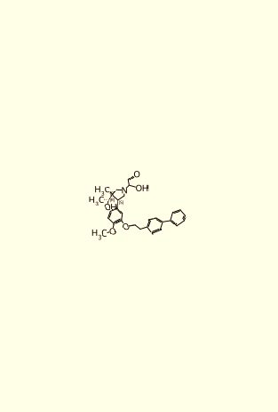 COc1ccc([C@@H]2CN(C(O)C=O)C[C@@]2(C)[C@@H](C)O)cc1OCCc1ccc(-c2ccccc2)cc1